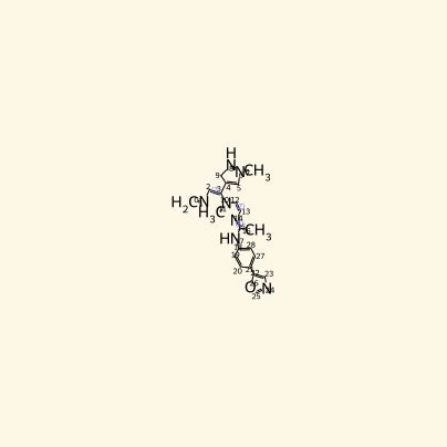 C=N/C=C(/C1=CN(C)NC1)N(C)/C=C\N=C(/C)Nc1ccc(-c2cnco2)cc1